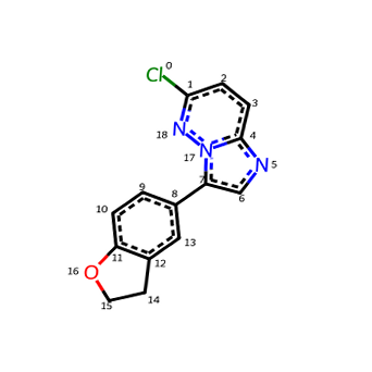 Clc1ccc2ncc(-c3ccc4c(c3)CCO4)n2n1